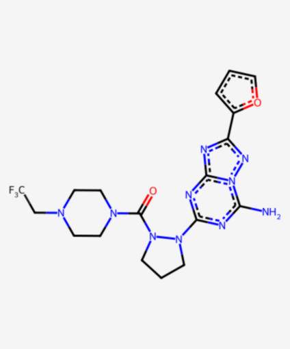 Nc1nc(N2CCCN2C(=O)N2CCN(CC(F)(F)F)CC2)nc2nc(-c3ccco3)nn12